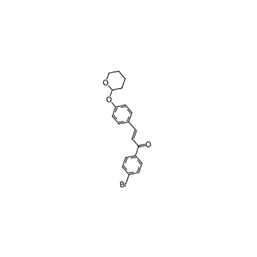 O=C(/C=C/c1ccc(OC2CCCCO2)cc1)c1ccc(Br)cc1